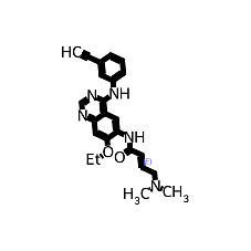 C#Cc1cccc(Nc2ncnc3cc(OCC)c(NC(=O)/C=C/CN(C)C)cc23)c1